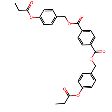 CCC(=O)Oc1ccc(COC(=O)c2ccc(C(=O)OCc3ccc(OC(=O)CC)cc3)cc2)cc1